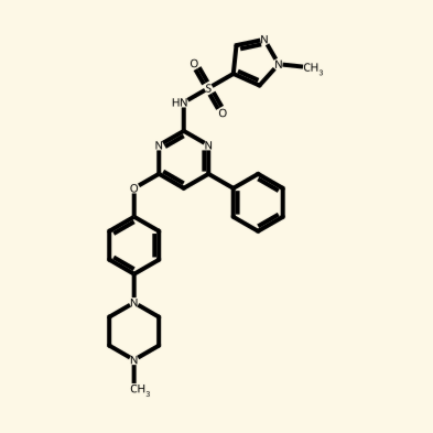 CN1CCN(c2ccc(Oc3cc(-c4ccccc4)nc(NS(=O)(=O)c4cnn(C)c4)n3)cc2)CC1